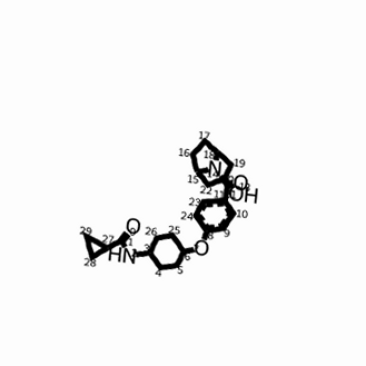 O=C(NC1CCC(Oc2ccc(C(=O)N3C4CCC3CC(O)C4)cc2)CC1)C1CC1